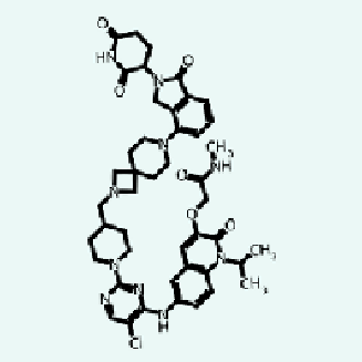 CNC(=O)COc1cc2cc(Nc3nc(N4CCC(CN5CC6(CCN(c7cccc8c7CN(C7CCC(=O)NC7=O)C8=O)CC6)C5)CC4)ncc3Cl)ccc2n(C(C)C)c1=O